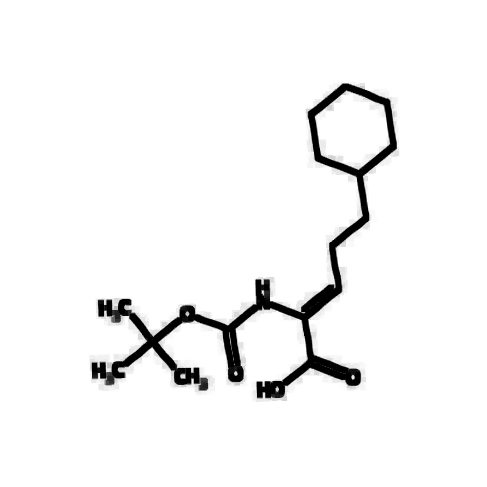 CC(C)(C)OC(=O)N/C(=C\CCC1CCCCC1)C(=O)O